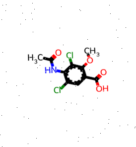 COc1c(C(=O)O)cc(Cl)c(NC(C)=O)c1Cl